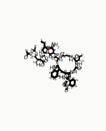 CCC1C[C@@H](C(=O)N[C@H](C(=O)O)[C@@H](C)[C@H](COC(C)=O)OC(C)=O)N(C(=O)C(CC(N)=O)NC(=O)C2CSc3[nH]c4ccccc4c3CC(NS(=O)(=O)c3ccccc3[N+](=O)[O-])C(=O)NCC(=O)N[C@@H]([C@@H](C)CC)C(=O)NCC(=O)N2)C1